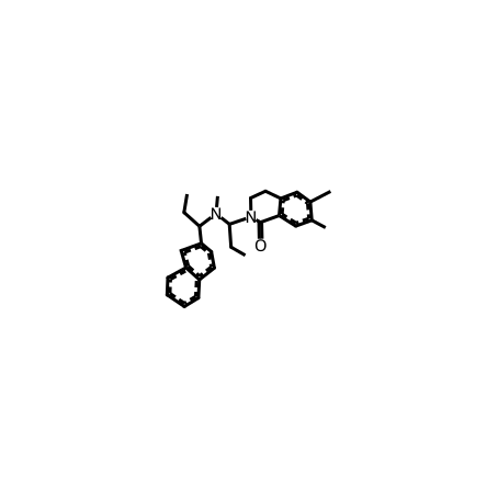 CCC(c1ccc2ccccc2c1)N(C)C(CC)N1CCc2cc(C)c(C)cc2C1=O